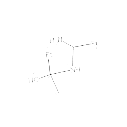 CCC(N)NC(C)(O)CC